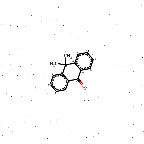 CC1(C)c2ccccc2C(=O)c2ccccc21